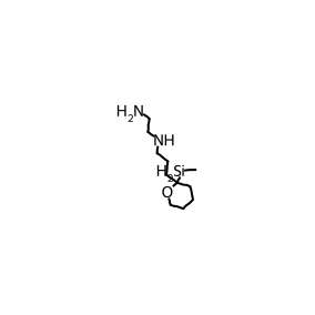 C[SiH2]C1(CCCNCCN)CCCCO1